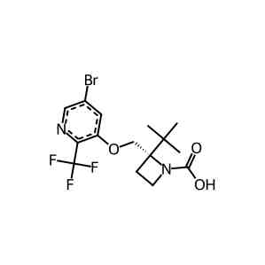 CC(C)(C)[C@]1(COc2cc(Br)cnc2C(F)(F)F)CCN1C(=O)O